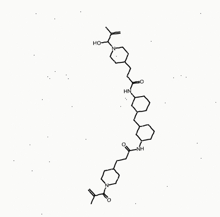 C=C(C)C(=O)N1CCC(CCC(=O)NC2CCCC(CC3CCCC(NC(=O)CCC4CCN(C(O)C(=C)C)CC4)C3)C2)CC1